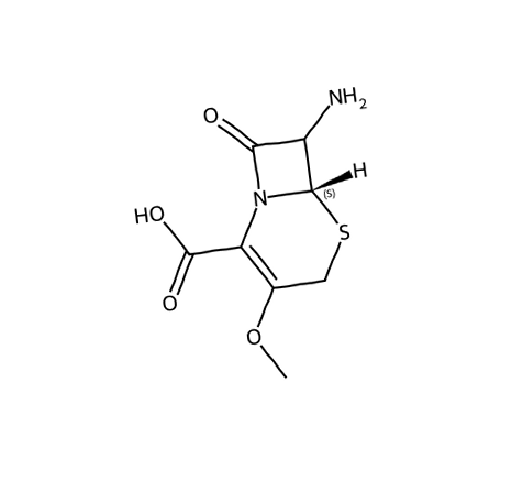 COC1=C(C(=O)O)N2C(=O)C(N)[C@@H]2SC1